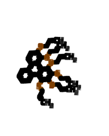 C=CCSc1ccc2c3ccccc3c3c(SCC=C)c(SCC=C)c(SCC=C)c(SCC=C)c3c2c1SCC=C